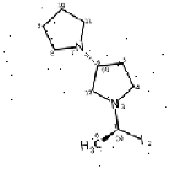 C[C@H](I)N1CC[C@@H](N2CCCC2)C1